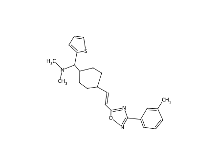 Cc1cccc(-c2noc(C=CC3CCC(C(c4cccs4)N(C)C)CC3)n2)c1